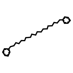 c1ccc(CCCCCCCCCCCCCCCCCCCc2ccccc2)cc1